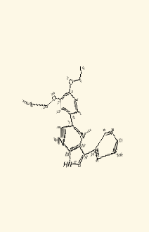 ICOc1ccc(-c2cnc3[nH]cc(-c4ccccc4)c3n2)cc1OCI